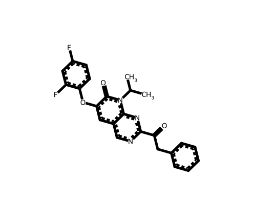 CC(C)n1c(=O)c(Oc2ccc(F)cc2F)cc2cnc(C(=O)Cc3ccccc3)nc21